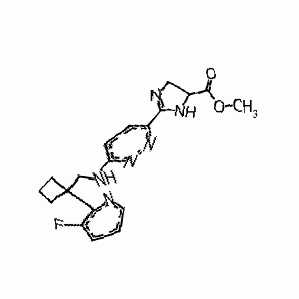 COC(=O)C1CN=C(c2ccc(NCC3(c4ncccc4F)CCC3)nn2)N1